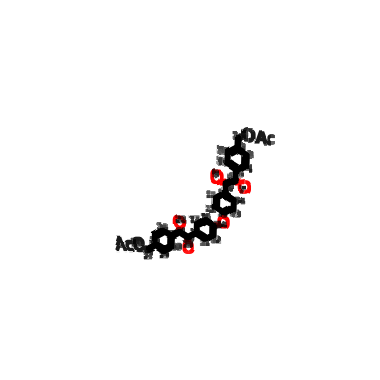 CC(=O)OCc1ccc(C(=O)C(=O)c2ccc(Oc3ccc(C(=O)C(=O)c4ccc(COC(C)=O)cc4)cc3)cc2)cc1